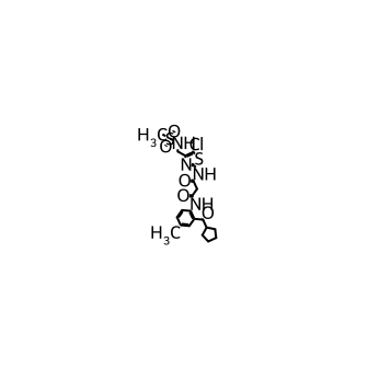 Cc1ccc(NC(=O)CC(=O)Nc2nc(CNS(C)(=O)=O)c(Cl)s2)c(C(=O)C2CCCC2)c1